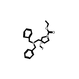 CCOC(=O)N1CC[C@@](CF)(CN(Cc2ccccc2)Cc2ccccc2)C1